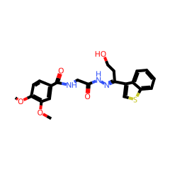 COc1ccc(C(=O)NCC(=O)N/N=C(\CCO)c2csc3ccccc23)cc1OC